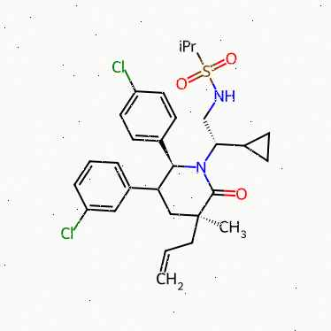 C=CC[C@@]1(C)CC(c2cccc(Cl)c2)[C@@H](c2ccc(Cl)cc2)N([C@H](CNS(=O)(=O)C(C)C)C2CC2)C1=O